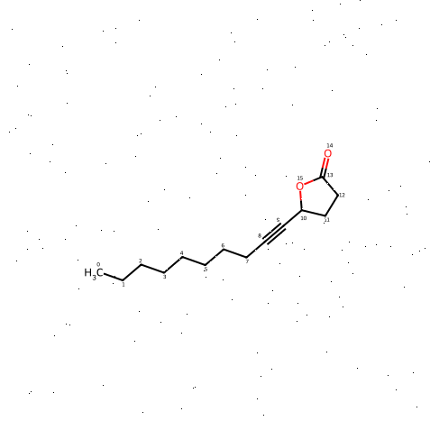 CCCCCCCCC#CC1CCC(=O)O1